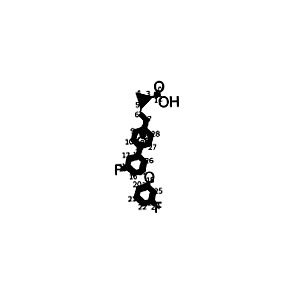 O=C(O)[C@@H]1C[C@H]1CCC12CCC(c3cc(F)cc(Oc4cccc(F)c4)c3)(CC1)OC2